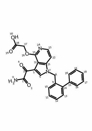 NC(=O)C(=O)c1cn(Cc2ccccc2-c2ccccc2)c2ccnc(OCC(=O)O)c12